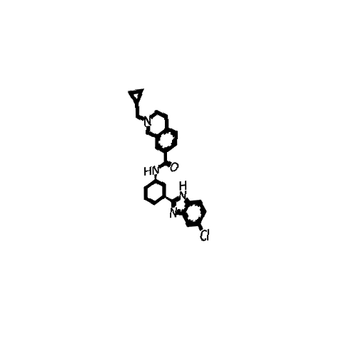 O=C(N[C@@H]1CCC[C@H](c2nc3cc(Cl)ccc3[nH]2)C1)c1ccc2c(c1)CN(CC1CC1)CC2